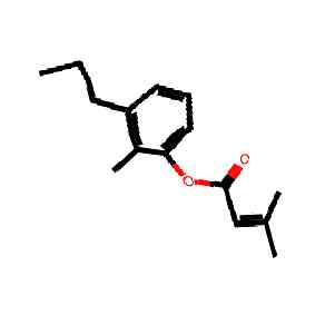 CCCc1cccc(OC(=O)C=C(C)C)c1C